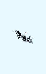 CCOc1cn2nc(C)cc2cc1NC(=O)N1CCc2c(N3C[C@@H](C)N[C@@H](C)C3)ccnc21.Cl